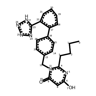 CCCCc1nc(O)cc(=O)n1Cc1ccc(-c2ccccc2-c2nnn[nH]2)cc1